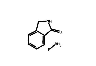 BF.O=C1NCc2ccccc21